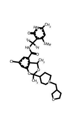 [2H]C([2H])(NC(=O)c1cc(Cl)cc2c1C(C)OC(C)(C1CCN(CC3CCOC3)CC1)O2)c1c(SC)cc(C)[nH]c1=O